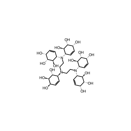 O[C@H]1[C@H](O)[C@@H](N(CCN([C@H]2C=C[C@@H](O)[C@@H](O)[C@@H]2O)[C@H]2C=C[C@@H](O)[C@@H](O)[C@@H]2O)CCN([C@H]2C=C[C@@H](O)[C@@H](O)[C@@H]2O)[C@H]2C=C[C@@H](O)[C@@H](O)[C@@H]2O)C=C[C@H]1O